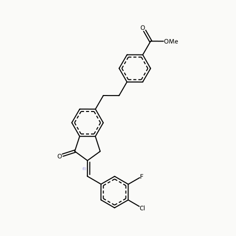 COC(=O)c1ccc(CCc2ccc3c(c2)C/C(=C\c2ccc(Cl)c(F)c2)C3=O)cc1